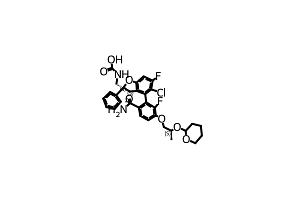 C[C@@H](COc1ccc(C(N)=O)c(-c2c(Cl)c(F)cc3c2[C@H](C)[C@@](CNC(=O)O)(c2ccccc2)O3)c1F)OC1CCCCO1